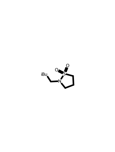 CCC(C)CN1CCCS1(=O)=O